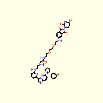 O=C(CNCCNc1cccc(-c2cnc3ccc(N4CCC[C@@H]4c4cccc(F)c4)nn23)n1)NCCOCCOCCNc1ccc2c(c1)C(=O)N(C1CCC(=O)NC1=O)C2=O